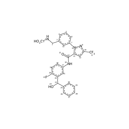 O=C(O)NCc1cccc(-n2nc(C(F)(F)F)cc2C(=O)Nc2ccc(F)c(C(O)c3ccccc3)c2)c1